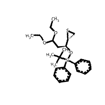 CCOC(C[C@H](O[Si](c1ccccc1)(c1ccccc1)C(C)(C)C)[C@H]1CS1)OCC